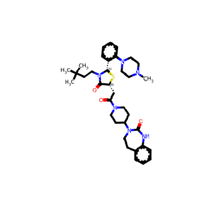 CN1CCN(c2ccccc2[C@@H]2S[C@H](CC(=O)N3CCC(N4CCc5ccccc5NC4=O)CC3)C(=O)N2CCC(C)(C)C)CC1